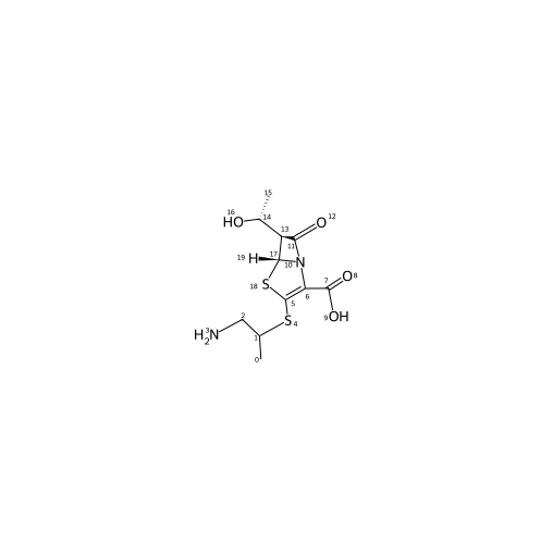 CC(CN)SC1=C(C(=O)O)N2C(=O)[C@H]([C@@H](C)O)[C@H]2S1